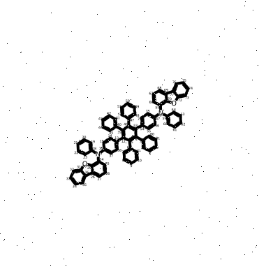 c1ccc(-c2c(-c3ccccc3)c(-c3ccc(N(c4ccccc4)c4cccc5c4oc4ccccc45)cc3)c(-c3ccccc3)c(-c3ccccc3)c2-c2ccc(N(c3ccccc3)c3cccc4c3oc3ccccc34)cc2)cc1